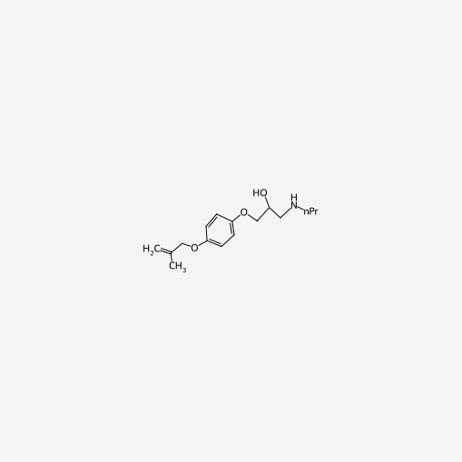 C=C(C)COc1ccc(OCC(O)CNCCC)cc1